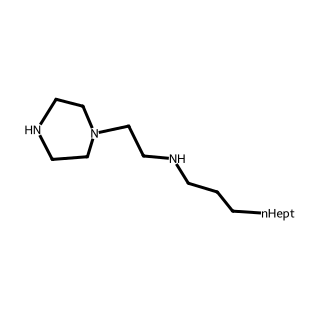 CCCCCCCCCCNCCN1CCNCC1